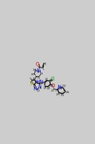 C=CC(=O)N1CCC(c2csc3ncnc(Nc4ccc(OCc5ccccn5)c(Cl)c4)c23)CC1